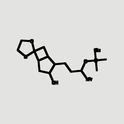 CCCC(CCC1C(O)CC2C1CC21OCCO1)O[Si](C)(C)C(C)(C)C